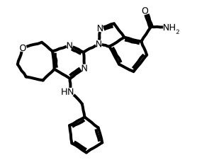 NC(=O)c1cccc2c1cnn2-c1nc2c(c(NCc3ccccc3)n1)CCCOC2